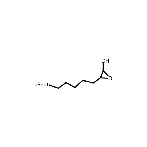 CCCCCCCCCCC1OC1O